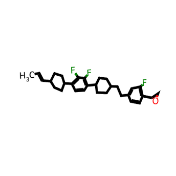 C/C=C/C1CCC(c2ccc(C3CCC(CCc4ccc(C5CO5)c(F)c4)CC3)c(F)c2F)CC1